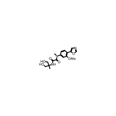 COc1cc(N(C)C(=O)C(=O)NC(C)(CO)CO)ccc1-c1cnco1